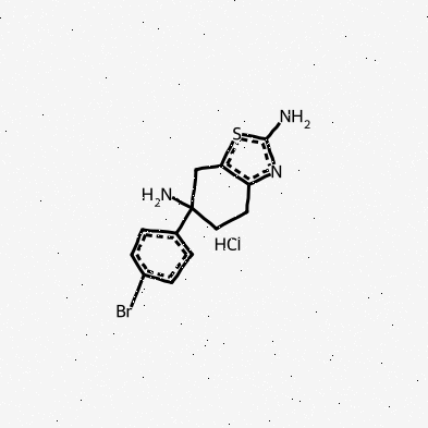 Cl.Nc1nc2c(s1)CC(N)(c1ccc(Br)cc1)CC2